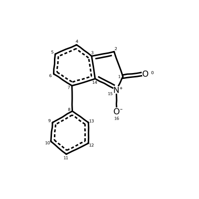 O=C1C=c2cccc(-c3ccccc3)c2=[N+]1[O-]